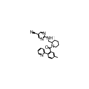 Cc1ccc(-c2ccccn2)c(C(=O)N2CCC[C@@H](C)C2CNc2ncc(C#N)cn2)c1